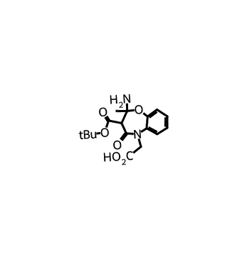 CC(C)(C)OC(=O)C1C(=O)N(CC(=O)O)c2ccccc2OC1(C)N